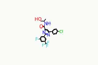 CC(CO)NC(=O)c1cc(-c2ccc(Cl)cc2)nc(-c2cc(F)cc(C(F)(F)F)c2)n1